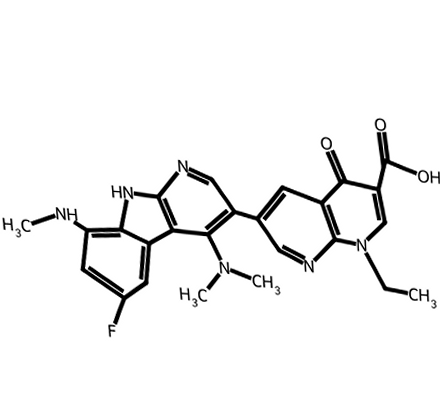 CCn1cc(C(=O)O)c(=O)c2cc(-c3cnc4[nH]c5c(NC)cc(F)cc5c4c3N(C)C)cnc21